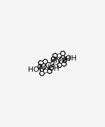 O=C1C(c2ccc3cccc4c3c2NC2(N4)c3ccccc3-c3cccc(C(=O)O)c32)=C(O)/C1=c1/ccc2cccc3c2c1NC1(N=3)c2ccccc2-c2cccc(C(=O)O)c21